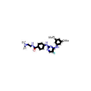 CCN(CC)CCNC(=O)c1ccc(Nc2ncc(F)c(Nc3cc(OC)cc(OC)c3)n2)cc1